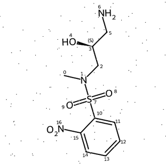 CN(C[C@@H](O)CN)S(=O)(=O)c1ccccc1[N+](=O)[O-]